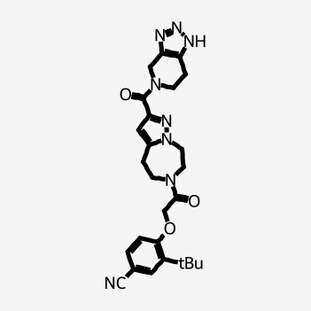 CC(C)(C)c1cc(C#N)ccc1OCC(=O)N1CCc2cc(C(=O)N3CCc4[nH]nnc4C3)nn2CC1